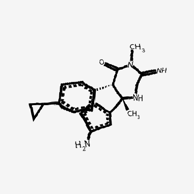 CN1C(=N)N[C@](C)(c2cc(N)cs2)[C@H](c2ccc(C3CC3)cc2)C1=O